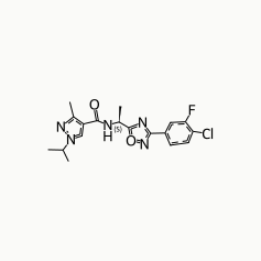 Cc1nn(C(C)C)cc1C(=O)N[C@@H](C)c1nc(-c2ccc(Cl)c(F)c2)no1